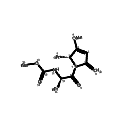 C=C1C=C(OC)[C@@H](CCC)N1C(=O)[C@@H](CCC)NC(=O)OC(C)(C)C